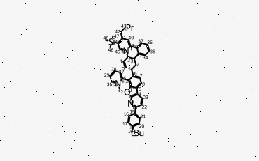 C=CC1C(CCc2ccc3c(oc4nc(-c5ccc(C(C)(C)C)cc5)ccc43)c2-c2cccc[n+]2C)c2ccccc2-c2cc(CC(C)C)c([Si](C)(C)C)c[n+]21